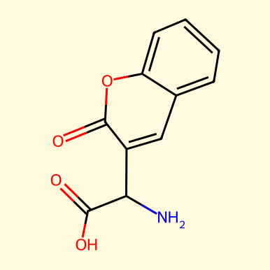 NC(C(=O)O)c1cc2ccccc2oc1=O